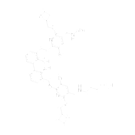 CCCCNCc1cc(Br)c(OCc2cccc(-c3cccc(COc4nc(OCC5CCO5)c(CNCCCC(=O)O)cc4Br)c3C)c2C)nc1OCC1CCO1